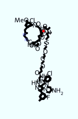 COc1cc2cc(c1Cl)N(C)C(=O)C[C@H](OC(=O)C(C)N(C)C(=O)CCSSCCOCCOCCOCCC(=O)NCCNc1ncc(-c3cc(C)cc(F)c3)c(N3CCC(N)CC3)c1-c1nc3ccc(Cl)cc3[nH]1)C1(C)CC(C)(O1)C1C[C@](O)(C/C=C/C=C(\C)C2)NC(=O)O1